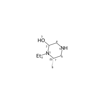 CCN1C(O)CNC[C@@H]1C